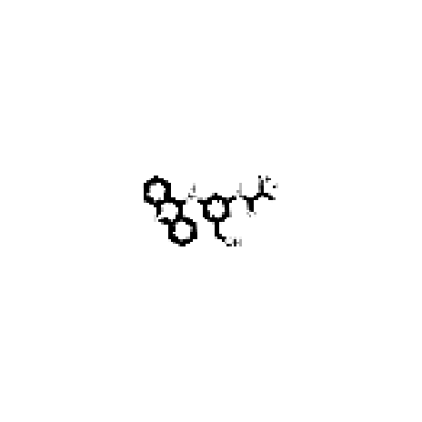 CC(N)C(=O)Nc1cc(CO)cc([AsH]c2c3ccccc3nc3ccccc23)c1